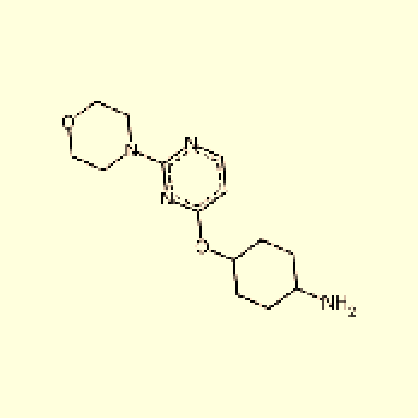 NC1CCC(Oc2ccnc(N3CCOCC3)n2)CC1